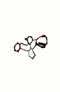 c1ccc(-c2cccc(-c3ccccc3)c2P2C(C3CCCCC3)CCCC2C2CCCCC2)cc1